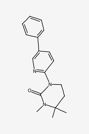 CN1C(=O)N(c2ccc(-c3ccccc3)cn2)CCC1(C)C